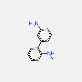 CNc1ccccc1-c1cccc(N)c1